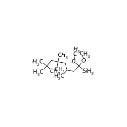 COC([SiH3])(CC(C)CC(C)(C)CC(C)(C)C)OC